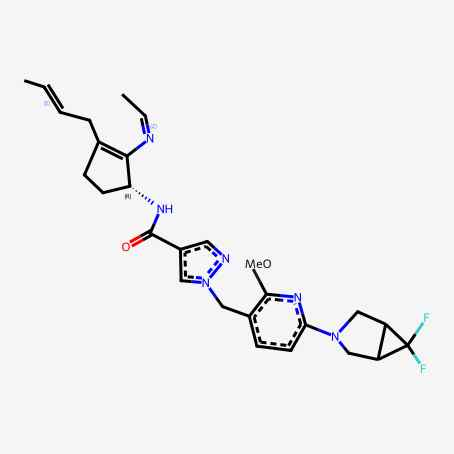 C/C=N\C1=C(C/C=C/C)CC[C@H]1NC(=O)c1cnn(Cc2ccc(N3CC4C(C3)C4(F)F)nc2OC)c1